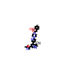 Cc1ncc(-c2cc(-c3ccc(N4CCN(C(=O)Cc5ccccc5O)CC4)nc3)c3c(C#N)cnn3c2)o1